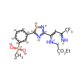 CCOC(=O)CN/C(=C\C(=N)C(F)(F)F)c1nsc(-c2cccc(S(C)(=O)=O)c2)n1